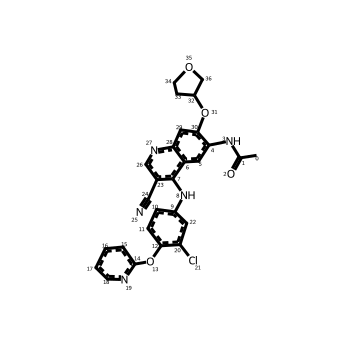 CC(=O)Nc1cc2c(Nc3ccc(Oc4ccccn4)c(Cl)c3)c(C#N)cnc2cc1OC1CCOC1